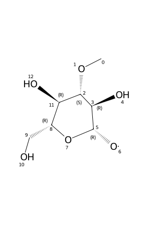 CO[C@@H]1[C@@H](O)[C@H]([O])O[C@H](CO)[C@H]1O